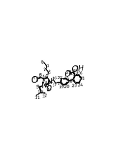 CCCCc1c(C=O)n(CC(C)C)c(=O)n1CCc1ccc(-c2ccccc2C(=O)O)cc1